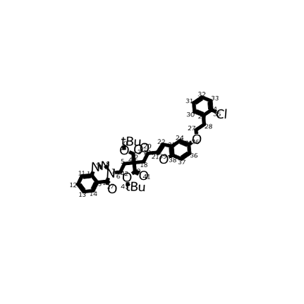 CC(C)(C)OC(=O)C(CCn1nnc2ccccc2c1=O)(CC(=O)c1cc2cc(OCCc3ccccc3Cl)ccc2o1)C(=O)OC(C)(C)C